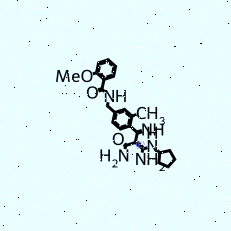 COc1ccccc1C(=O)NCc1ccc(C(=N)/C(C(N)=O)=C(/N)NC2CCCC2)c(C)c1